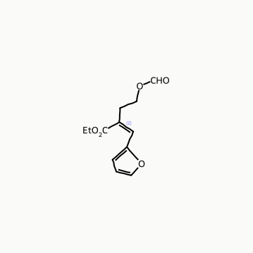 CCOC(=O)/C(=C\c1ccco1)CCOC=O